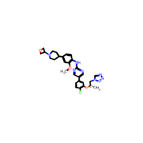 COc1cc(C2CCN(C3COC3)CC2)ccc1Nc1ncc(-c2ccc(Cl)c(O[C@@H](C)Cn3cnnn3)c2)cn1